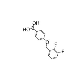 OB(O)c1ccc(OCc2cccc(F)c2F)cc1